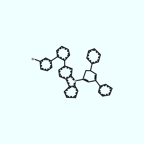 Brc1cccc(-c2ccccc2-c2ccc3c4ccccc4n(C4=CC(c5ccccc5)=CC(c5ccccc5)C4)c3c2)c1